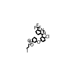 O=S(=O)(CCCI)c1cccc(Oc2ccc(Cl)c(-c3ncnc4c(C(F)(F)F)cccc34)c2)c1